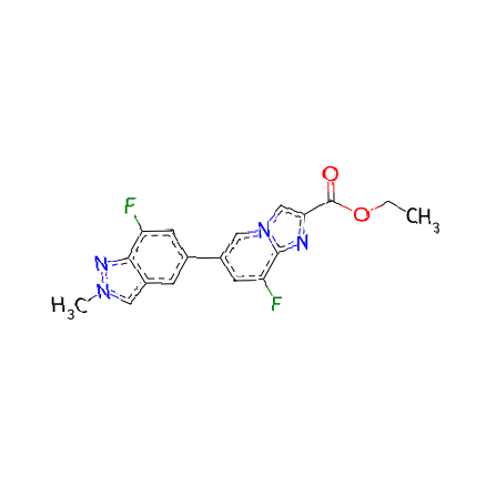 CCOC(=O)c1cn2cc(-c3cc(F)c4nn(C)cc4c3)cc(F)c2n1